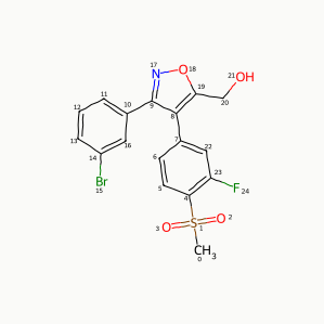 CS(=O)(=O)c1ccc(-c2c(-c3cccc(Br)c3)noc2CO)cc1F